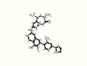 Cc1cc(-c2ncco2)ncc1-c1cc2cc(Nc3cc4n(n3)CC(=O)N(C)CC4C)ncc2c(Cl)c1F